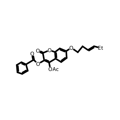 CC/C=C/CCOc1ccc2c(OC(C)=O)c(OC(=O)c3ccccc3)c(=O)oc2c1